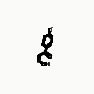 O=C(/C=N\O)c1ccc(Cl)cc1